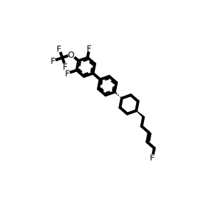 FC/C=C/CC[C@H]1CC[C@H](c2ccc(-c3cc(F)c(OC(F)(F)F)c(F)c3)cc2)CC1